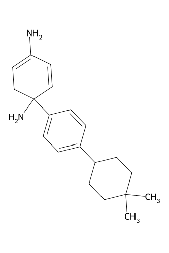 CC1(C)CCC(c2ccc(C3(N)C=CC(N)=CC3)cc2)CC1